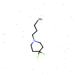 CC(C)(C)CCCN1CCC(F)(F)CC1